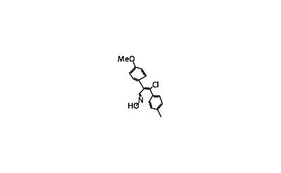 COc1ccc(C(C=NO)=C(Cl)c2ccc(C)cc2)cc1